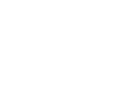 COc1ccc2c(O)c(CCCCc3ccccc3OC)c(=O)oc2c1